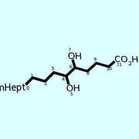 CCCCCCCCCCC(O)C(O)CCCC(=O)O